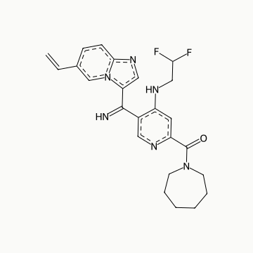 C=Cc1ccc2ncc(C(=N)c3cnc(C(=O)N4CCCCCC4)cc3NCC(F)F)n2c1